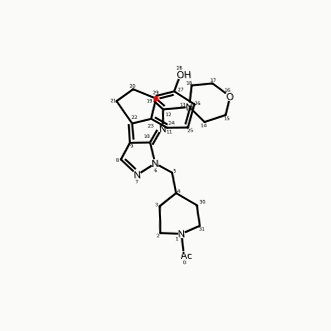 CC(=O)N1CCC(Cn2ncc3/c2=N\C(N2CCOCC2)=C/CC/C=3c2cccc(O)c2)CC1